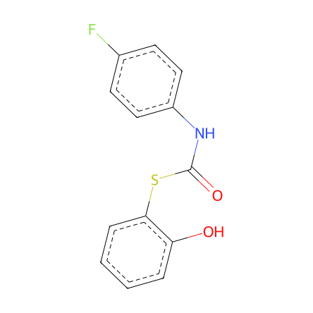 O=C(Nc1ccc(F)cc1)Sc1ccccc1O